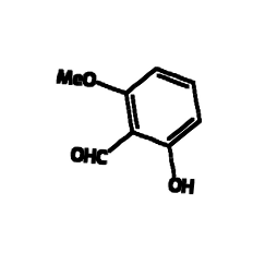 [CH2]Oc1cccc(O)c1C=O